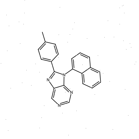 Cc1ccc(-c2nc3cncnc3n2-c2cccc3ccccc23)cc1